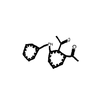 CC(=O)c1cccc(Pc2ccccc2)c1C(C)=O